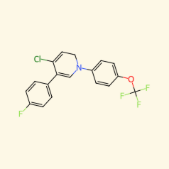 Fc1ccc(C2=CN(c3ccc(OC(F)(F)F)cc3)CC=C2Cl)cc1